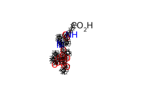 C[C@@H](OC(=O)c1ccccc1)[C@H](OC(=O)c1ccccc1)C(COC(=O)c1ccccc1)O[C@@H](COC(=O)c1ccccc1)OCCOCCOCCn1nnc2c1-c1ccccc1C(OC(=O)NCCCCCC(=O)O)Cc1ccccc1-2